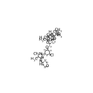 Cc1c(Cl)nc(-c2cc(Cl)cc(OCC(CCOC(=O)NC(C)(C)C)O[Si](C)(C)C(C)(C)C)c2)nc1NC1CCOCC1